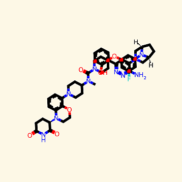 CN(C(=O)N1CCC(Oc2cc(F)cc(N3[C@@H]4CC[C@H]3CN(c3cc(-c5ccccc5O)nnc3N)C4)c2)CC1)C1CCN(c2cccc3c2OCCN3[C@@H]2CCC(=O)NC2=O)CC1